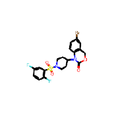 O=C1OCc2cc(Br)ccc2N1C1CCN(S(=O)(=O)c2cc(F)ccc2F)CC1